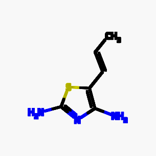 CC=Cc1sc(N)nc1N